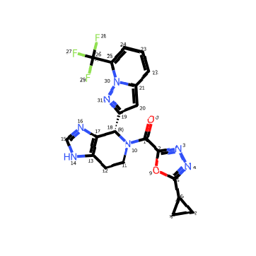 O=C(c1nnc(C2CC2)o1)N1CCc2[nH]cnc2[C@@H]1c1cc2cccc(C(F)(F)F)n2n1